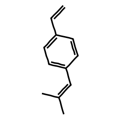 C=Cc1ccc(C=C(C)C)cc1